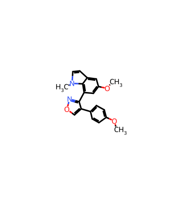 COc1ccc(-c2conc2-c2cc(OC)cc3ccn(C)c23)cc1